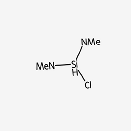 CN[SiH](Cl)NC